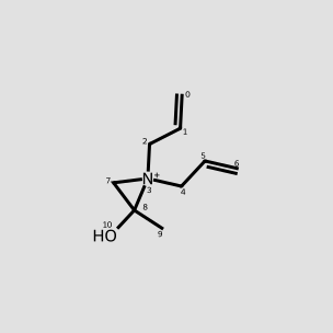 C=CC[N+]1(CC=C)CC1(C)O